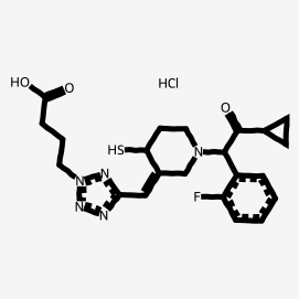 Cl.O=C(O)CCCn1nnc(C=C2CN(C(C(=O)C3CC3)c3ccccc3F)CCC2S)n1